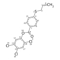 C=CCSc1ccc(C(=O)Oc2cc(Cl)c(Cl)cc2Cl)cc1